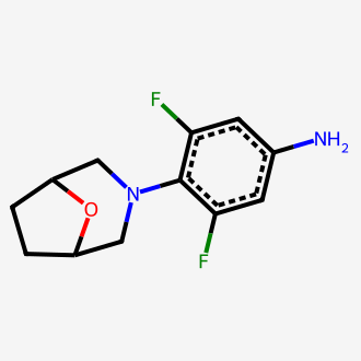 Nc1cc(F)c(N2CC3CCC(C2)O3)c(F)c1